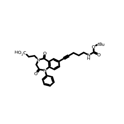 CC(C)(C)OC(=O)NCCCC#Cc1ccc2c(c1)C(=O)N(CCC(=O)O)CC(=O)N2c1ccccc1